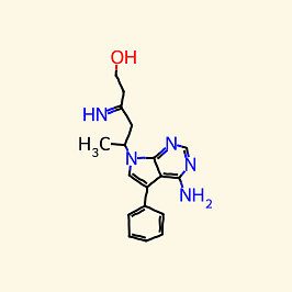 CC(CC(=N)CCO)n1cc(-c2ccccc2)c2c(N)ncnc21